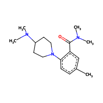 Cc1ccc(N2CCC(N(C)C)CC2)c(C(=O)N(C)C)c1